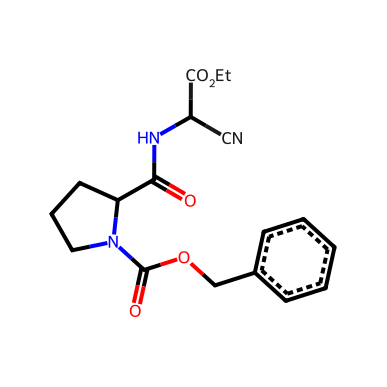 CCOC(=O)C(C#N)NC(=O)C1CCCN1C(=O)OCc1ccccc1